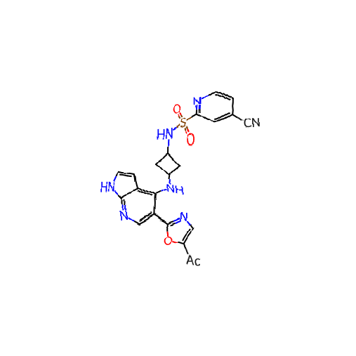 CC(=O)c1cnc(-c2cnc3[nH]ccc3c2NC2CC(NS(=O)(=O)c3cc(C#N)ccn3)C2)o1